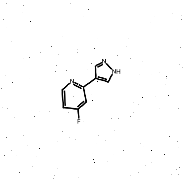 Fc1ccnc(-c2cn[nH]c2)c1